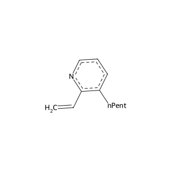 C=Cc1ncccc1CCCCC